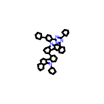 c1ccc(-c2ccc(-c3nc(-c4ccccc4)nc(-c4ccccc4)n3)c(-n3c4ccccc4c4c(-c5cccc6c5c5ccc7ccccc7c5n6-c5ccccc5)cccc43)c2)cc1